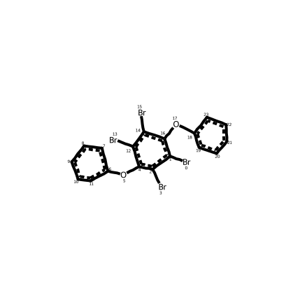 Brc1c(Br)c(Oc2ccccc2)c(Br)c(Br)c1Oc1ccccc1